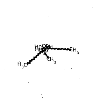 CCCCCCCCCCCCCCCCC(O)[C@H]1O[C@H](OCCCC)[C@@](O)(CCCCCCCCCCCCCCCC)[C@@H](O)[C@@H]1O